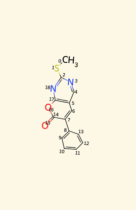 CSc1ncc2cc(-c3ccccc3)c(=O)oc2n1